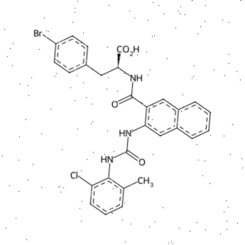 Cc1cccc(Cl)c1NC(=O)Nc1cc2ccccc2cc1C(=O)N[C@@H](Cc1ccc(Br)cc1)C(=O)O